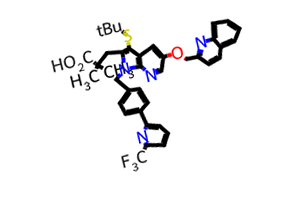 CC(C)(C)Sc1c(CC(C)(C)C(=O)O)n(Cc2ccc(-c3cccc(C(F)(F)F)n3)cc2)c2ncc(OCc3ccc4ccccc4n3)cc12